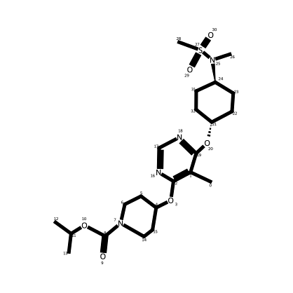 Cc1c(OC2CCN(C(=O)OC(C)C)CC2)ncnc1O[C@H]1CC[C@H](N(C)S(C)(=O)=O)CC1